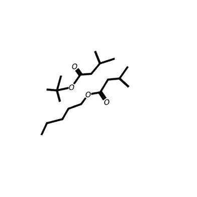 CC(C)CC(=O)OC(C)(C)C.CCCCCOC(=O)CC(C)C